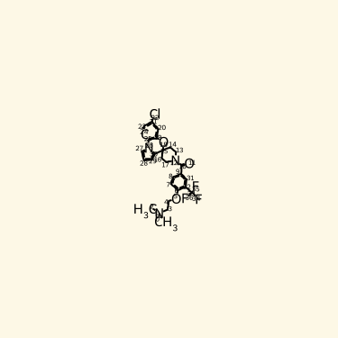 CN(C)CCOc1ccc(C(=O)N2CCC3(CC2)Oc2cc(Cl)ccc2-n2cccc23)cc1C(F)(F)F